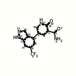 NC(=O)c1cc(-c2cc(C(F)(F)F)cc3[nH]ncc23)c[nH]c1=O